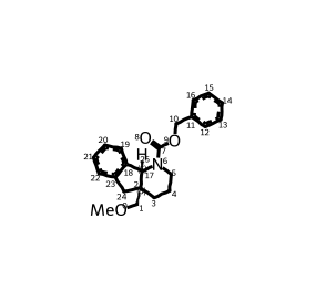 COC[C@]12CCCN(C(=O)OCc3ccccc3)[C@H]1c1ccccc1C2